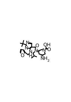 CC(C)CN(C(=O)c1cnc(C(C)(C)C)nc1NCc1ccco1)[C@H]1C[C@@H](N)CN(C(=O)O)C1